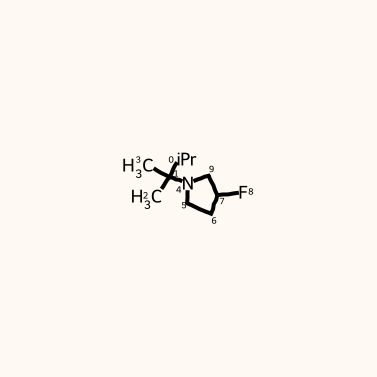 CC(C)C(C)(C)N1CCC(F)C1